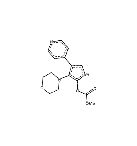 COC(=O)Oc1[nH]cc(-c2ccncc2)c1N1CCOCC1